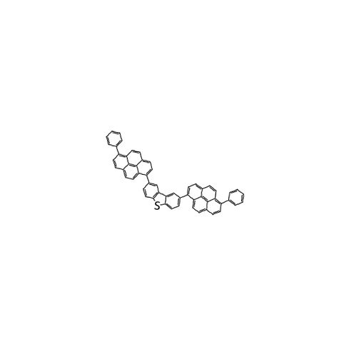 c1ccc(-c2ccc3ccc4c(-c5ccc6sc7ccc(-c8ccc9ccc%10c(-c%11ccccc%11)ccc%11ccc8c9c%11%10)cc7c6c5)ccc5ccc2c3c54)cc1